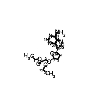 CCOP(=O)(CO[C@@H]1CC[C@H](n2nnc3c(N)ncnc32)O1)OCC